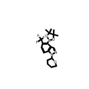 CC1(C)OB(c2c(C(F)(F)F)ccc3c2cnn3C2CCCCO2)OC1(C)C